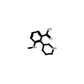 CNc1cccc(C(=O)O)c1C1CCCNC1